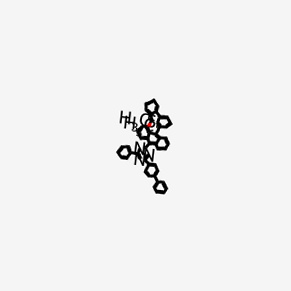 C[Si]1(C)c2ccccc2-c2cccc(-c3c4ccccc4c(-c4nc(-c5ccccc5)nc(-c5ccc(-c6ccccc6)cc5)n4)c4ccccc34)c21